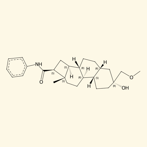 COC[C@@]1(O)CC[C@H]2[C@H](CC[C@@H]3[C@@H]2CC[C@]2(C)[C@@H](C(=O)Nc4ccccc4)C[C@@H]32)C1